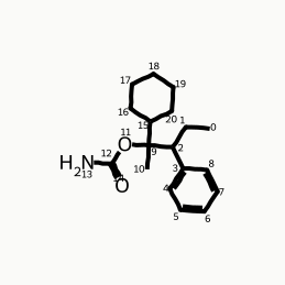 CCC(c1ccccc1)C(C)(OC(N)=O)C1CCCCC1